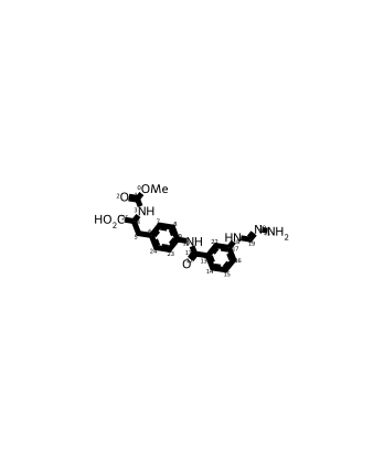 COC(=O)NC(Cc1ccc(NC(=O)c2cccc(NC=NN)c2)cc1)C(=O)O